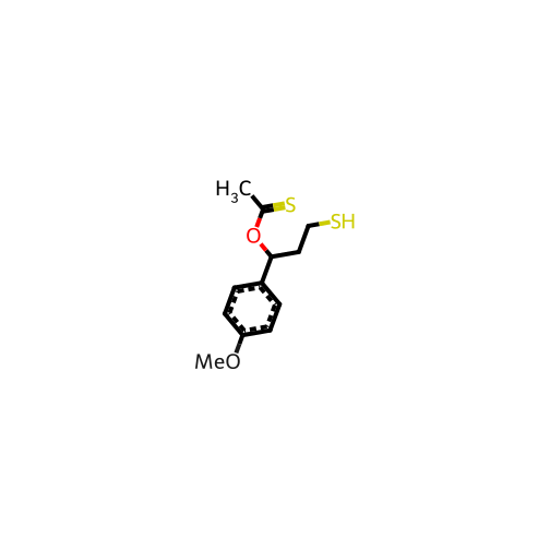 COc1ccc(C(CCS)OC(C)=S)cc1